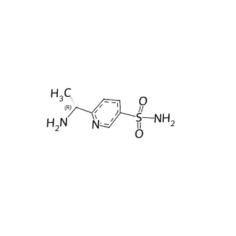 C[C@@H](N)c1ccc(S(N)(=O)=O)cn1